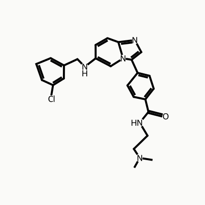 CN(C)CCNC(=O)c1ccc(-c2cnc3ccc(NCc4cccc(Cl)c4)cn23)cc1